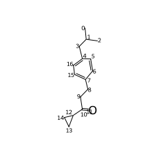 CC(C)Cc1ccc(CCC(=O)C2CC2)cc1